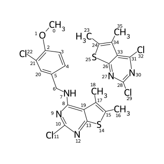 COc1ccc(CNc2nc(Cl)nc3sc(C)c(C)c23)cc1Cl.Cc1sc2nc(Cl)nc(Cl)c2c1C